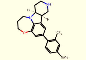 CNc1ccc(-c2cc3c4c(c2)[C@@H]2CNCC[C@@H]2N4CCCO3)c(C(F)(F)F)c1